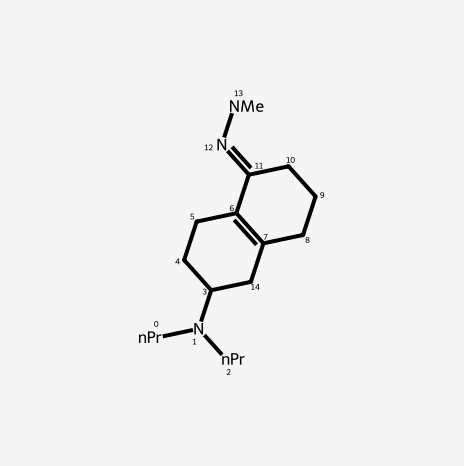 CCCN(CCC)C1CCC2=C(CCC/C2=N\NC)C1